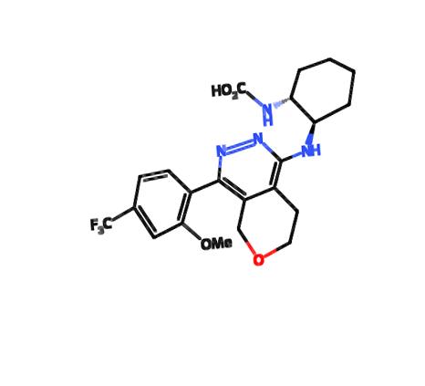 COc1cc(C(F)(F)F)ccc1-c1nnc(N[C@@H]2CCCC[C@H]2NC(=O)O)c2c1COCC2